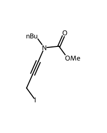 CCCCN(C#CCI)C(=O)OC